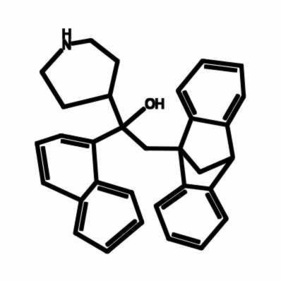 OC(CC12CC(c3ccccc31)c1ccccc12)(c1cccc2ccccc12)C1CCNCC1